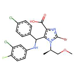 COC[C@@H](C)n1c(Br)nc(C(=O)O)c1C(Nc1ccc(F)c(Cl)c1)c1ccc(Cl)cc1